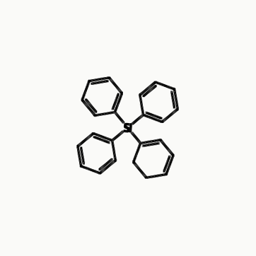 C1=CCCC([Si](c2ccccc2)(c2ccccc2)c2ccccc2)=C1